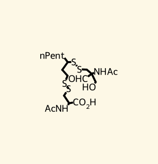 CCCCCC(CCSSCC(NC(C)=O)C(=O)O)SSCC(C=O)(CO)NC(C)=O